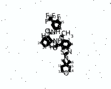 COc1ccc2nc(N3CC4(CCOCC4)C3)sc2c1C(=O)N[C@@H]1[C@H]2CC[C@H](C2)[C@@H]1C(=O)Nc1ccc(F)c(C(F)(F)F)c1